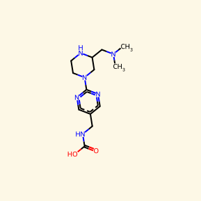 CN(C)CC1CN(c2ncc(CNC(=O)O)cn2)CCN1